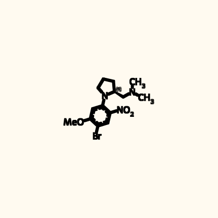 COc1cc(N2CCC[C@H]2CN(C)C)c([N+](=O)[O-])cc1Br